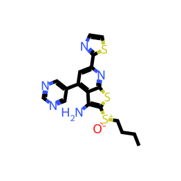 CCCC[S+]([O-])c1sc2nc(-c3nccs3)cc(-c3cncnc3)c2c1N